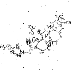 CO[C@@H]1C[C@H]2[C@@H](CCC3C[C@](C)(O)CC[C@@H]32)[C@@H]2CC[C@H](C(=O)Cn3nnc(C)n3)[C@@]12C